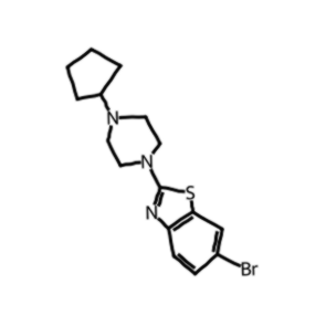 Brc1ccc2nc(N3CCN(C4CCCC4)CC3)sc2c1